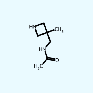 CC(=O)NCC1(C)CNC1